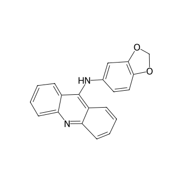 c1ccc2c(Nc3ccc4c(c3)OCO4)c3ccccc3nc2c1